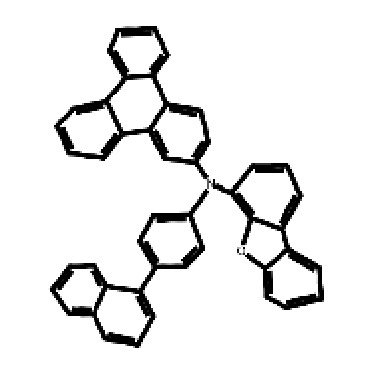 c1ccc2c(-c3ccc(N(c4ccc5c6ccccc6c6ccccc6c5c4)c4cccc5c4oc4ccccc45)cc3)cccc2c1